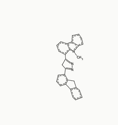 Cn1c2ccccc2c2cccc(C3=NN=C(c4cccc5c4Cc4ccccc4-5)C3)c21